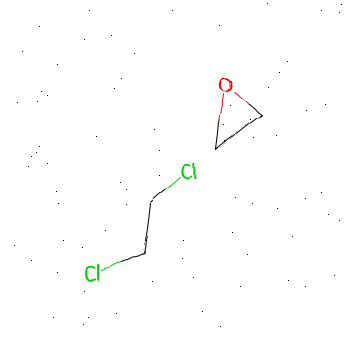 C1CO1.ClCCCl